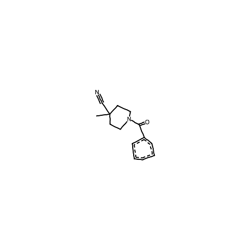 CC1(C#N)CCN(C(=O)c2ccccc2)CC1